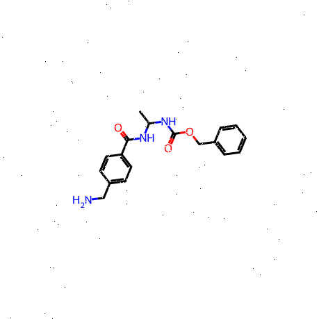 CC(NC(=O)OCc1ccccc1)NC(=O)c1ccc(CN)cc1